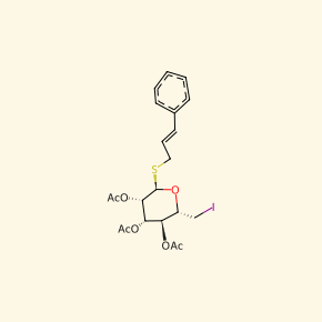 CC(=O)O[C@@H]1[C@H](OC(C)=O)[C@@H](SCC=Cc2ccccc2)O[C@H](CI)[C@H]1OC(C)=O